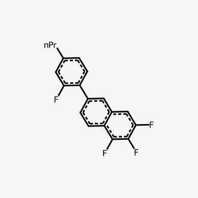 CCCc1ccc(-c2ccc3c(F)c(F)c(F)cc3c2)c(F)c1